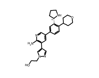 Nc1ncc(-c2ccc(C3CCOCC3)c([C@@H]3CCCN3)c2)cc1-c1cnn(CCO)c1